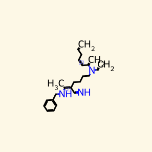 C=CC/C=C\C(=C)N(C=C)CCCC/C(C=N)=C(\C)NCc1ccccc1